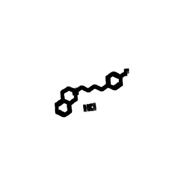 Cl.Fc1ccc(CCCCN2CCc3ccccc3C2)cc1